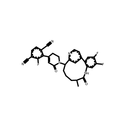 CC1CCCC(N2CCC(c3c(C#N)ccc(C#N)c3F)=CC2=O)c2cc(ccn2)-c2cc(F)c(F)cc2NC1=O